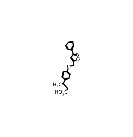 CC(CC(=O)O)c1ccc(OCc2cc(-c3ccccc3)no2)cc1